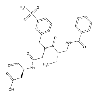 CC[C@@H](CNC(=O)c1ccccc1)C(=O)N(CC(=O)N[C@H](C=O)CC(=O)O)Cc1cccc(S(C)(=O)=O)c1